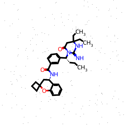 CCC[C@H](c1cccc(C(=O)N[C@H]2CC3(CCC3)Oc3ccccc32)c1)N1C(=N)NC(CC)(CC)CC1=O